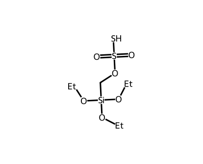 CCO[Si](COS(=O)(=O)S)(OCC)OCC